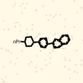 CCCC1CCC(c2ccc(-c3ccc4ccccc4c3)cc2)CC1